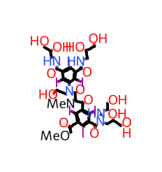 CNC(C(=O)c1c(I)c(C(=O)COC)c(I)c(C(=O)N(CC(O)CO)NCCO)c1I)C(=O)N(CCO)c1c(I)c(C(=O)NCC(O)CO)c(I)c(C(=O)NCC(O)CO)c1I